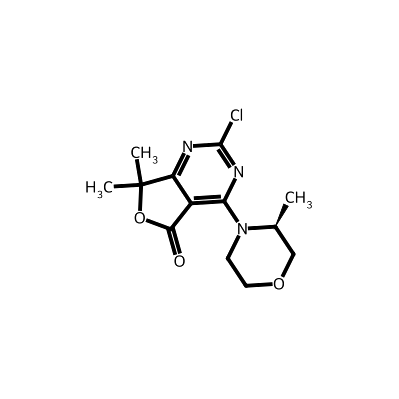 C[C@H]1COCCN1c1nc(Cl)nc2c1C(=O)OC2(C)C